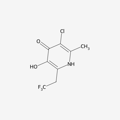 Cc1[nH]c(CC(F)(F)F)c(O)c(=O)c1Cl